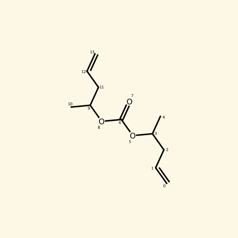 C=CCC(C)OC(=O)OC(C)CC=C